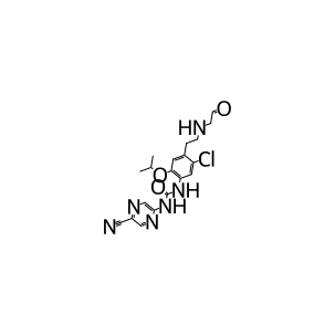 CC(C)Oc1cc(CCNCC=O)c(Cl)cc1NC(=O)Nc1cnc(C#N)cn1